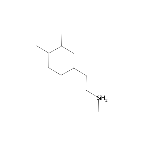 C[SiH2]CCC1CCC(C)C(C)C1